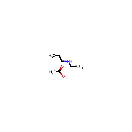 CC(=O)O.CCCNCC